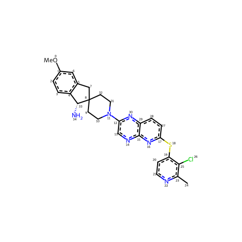 COc1ccc2c(c1)CC1(CCN(c3cnc4nc(Sc5ccnc(C)c5Cl)ccc4n3)CC1)[C@@H]2N